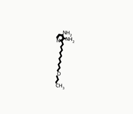 CCCCOCCCCCCCCCCc1nccc(N)c1N